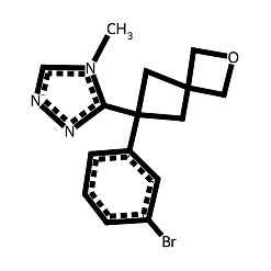 Cn1cnnc1C1(c2cccc(Br)c2)CC2(COC2)C1